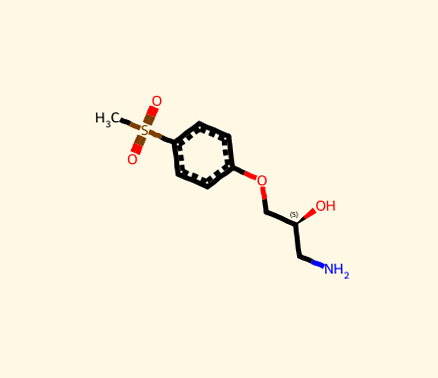 CS(=O)(=O)c1ccc(OC[C@@H](O)CN)cc1